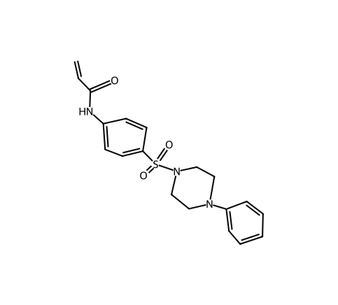 C=CC(=O)Nc1ccc(S(=O)(=O)N2CCN(c3ccccc3)CC2)cc1